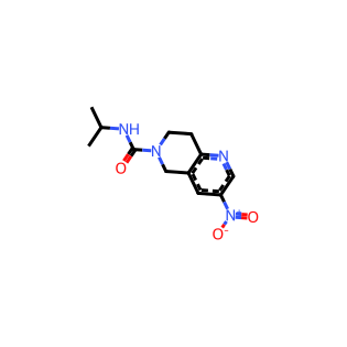 CC(C)NC(=O)N1CCc2ncc([N+](=O)[O-])cc2C1